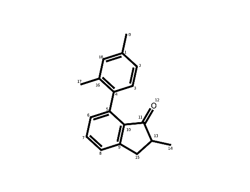 Cc1ccc(-c2cccc3c2C(=O)C(C)C3)c(C)c1